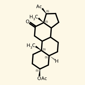 CC(=O)O[C@H]1CC[C@]2(C)C3CC(=O)[C@@]4(C)C(CC[C@@H]4C(C)=O)C3CC[C@H]2C1